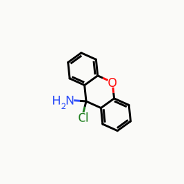 NC1(Cl)c2ccccc2Oc2ccccc21